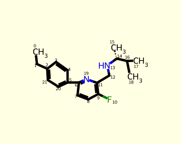 CCc1ccc(-c2ccc(F)c(CN[C@H](C)C(C)C)n2)cc1